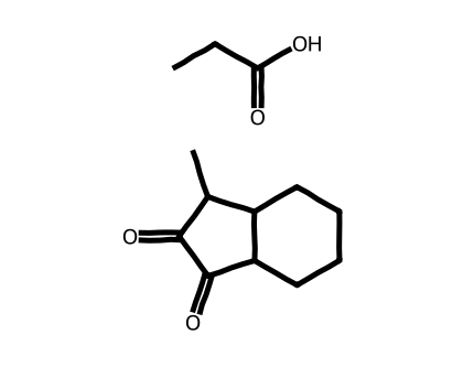 CC1C(=O)C(=O)C2CCCCC12.CCC(=O)O